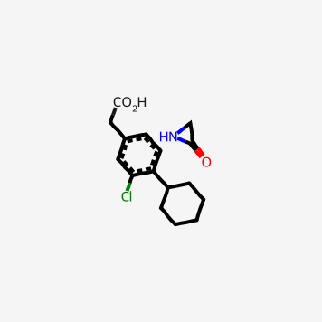 O=C(O)Cc1ccc(C2CCCCC2)c(Cl)c1.O=C1CN1